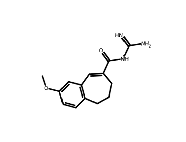 COc1ccc2c(c1)C=C(C(=O)NC(=N)N)CCC2